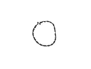 c1ccccccccncccccccc1